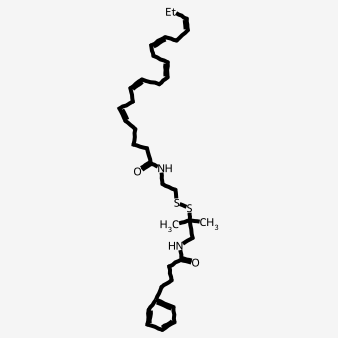 CC/C=C\C/C=C\C/C=C\C/C=C\C/C=C\CCCC(=O)NCCSSC(C)(C)CNC(=O)CCCc1ccccc1